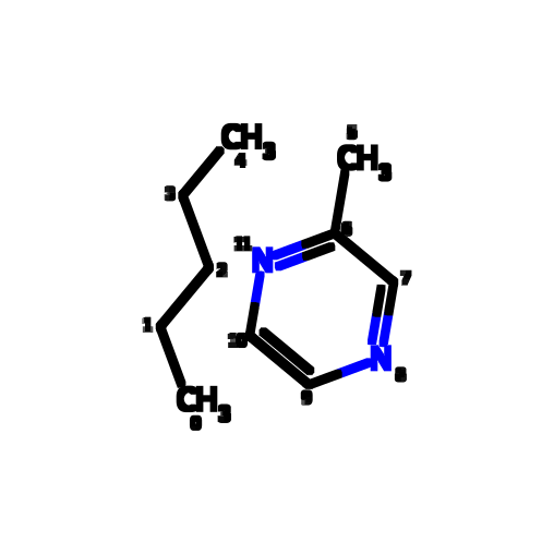 CCCCC.Cc1cnccn1